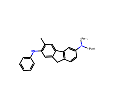 CCCCCN(CCCCC)c1ccc2c(c1)-c1cc(C)c(Nc3ccccc3)cc1C2